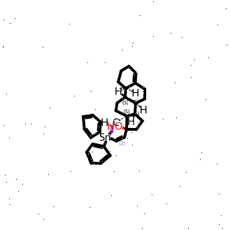 C[C@]12CC[C@H]3[C@@H](CCC4=CCCC[C@@H]43)[C@@H]1CCC2(O)/C=[CH]\[Sn]([I])([c]1ccccc1)[c]1ccccc1